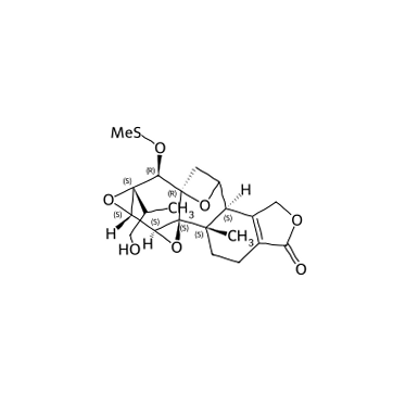 CSO[C@@H]1[C@@]2(C(C)CO)O[C@H]2[C@@H]2O[C@@]23[C@@]2(C)CCC4=C(COC4=O)[C@@H]2C2C[C@@]13O2